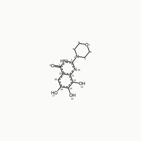 O=c1[nH]c(N2CCOCC2)nc2c(O)c(O)c(O)cc12